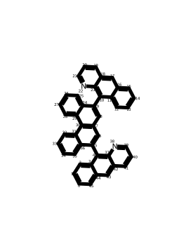 c1ccc2c(-c3cc4cc(-c5c6ccccc6cc6cccnc56)c5ccccc5c4c4ccccc34)c3ncccc3cc2c1